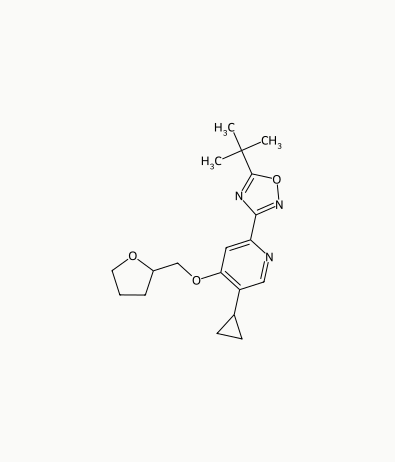 CC(C)(C)c1nc(-c2cc(OCC3CCCO3)c(C3CC3)cn2)no1